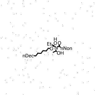 CCCCCCCCCCCCCCCCOC(O)(CC)N(C(=O)CCCCCCCCC)C(C)O